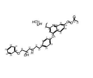 CCc1cc(Oc2ccc(CCNC[C@H](O)COc3ccccc3)cc2)c2ccc(OOC(C)=O)cc2n1.Cl.Cl